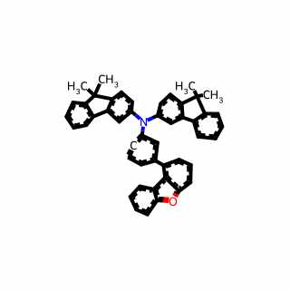 CC1(C)c2ccccc2-c2cc(N(c3cccc(-c4cccc5oc6ccccc6c45)c3)c3ccc4c(c3)-c3ccccc3C4(C)C)ccc21